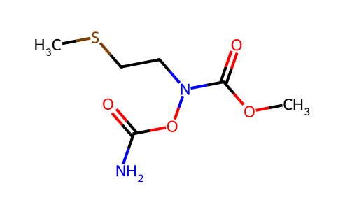 COC(=O)N(CCSC)OC(N)=O